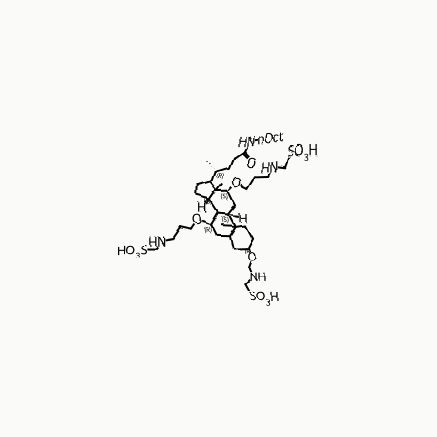 CCCCCCCCNC(=O)CC[C@@H](C)C1CC[C@H]2C3[C@H](OCCCNCS(=O)(=O)O)CC4C[C@H](OCNCS(=O)(=O)O)CCC4(C)[C@H]3C[C@H](OCCCNCS(=O)(=O)O)C12C